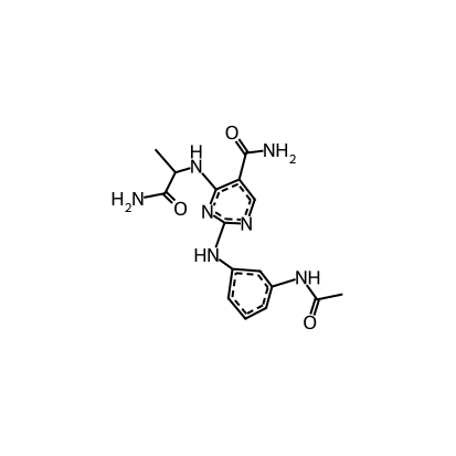 CC(=O)Nc1cccc(Nc2ncc(C(N)=O)c(NC(C)C(N)=O)n2)c1